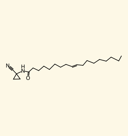 CCCCCCCCC=CCCCCCCCC(=O)NC1(C#N)CC1